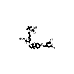 CC1(c2ccc(OCc3cc(Cl)nc(Cl)c3)cc2)CCN(C(CCCCN(C(=O)O)C(C)(C)C)C(=O)NO)C1=O